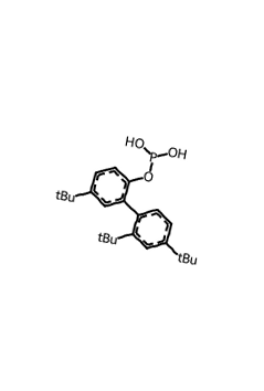 CC(C)(C)c1ccc(OP(O)O)c(-c2ccc(C(C)(C)C)cc2C(C)(C)C)c1